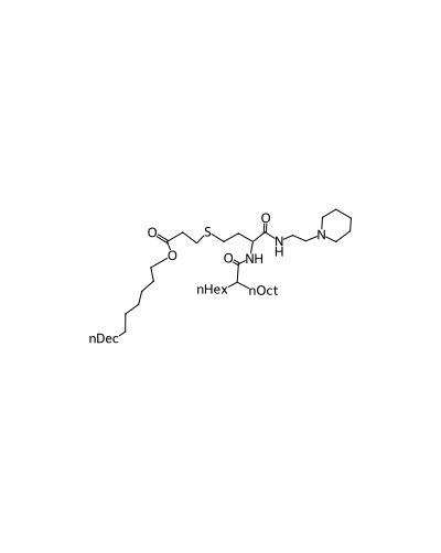 CCCCCCCCCCCCCCCCOC(=O)CCSCCC(NC(=O)C(CCCCCC)CCCCCCCC)C(=O)NCCN1CCCCC1